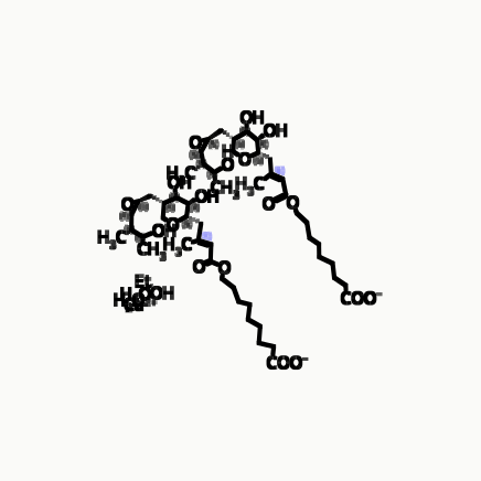 C/C(=C\C(=O)OCCCCCCCCC(=O)[O-])C[C@@H]1OC[C@H](C[C@@H]2O[C@H]2[C@@H](C)[C@H](C)O)[C@@H](O)[C@H]1O.C/C(=C\C(=O)OCCCCCCCCC(=O)[O-])C[C@@H]1OC[C@H](C[C@@H]2O[C@H]2[C@@H](C)[C@H](C)O)[C@@H](O)[C@H]1O.CCO.O.O.[Ca+2]